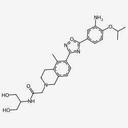 Cc1c(-c2noc(-c3ccc(OC(C)C)c(N)c3)n2)ccc2c1CCN(CC(=O)NC(CO)CO)C2